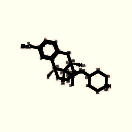 COc1ccc2c(c1)[C@]1(C)CCN(C)[C@H](C2)[C@H]1N(C)CC1CCNCC1